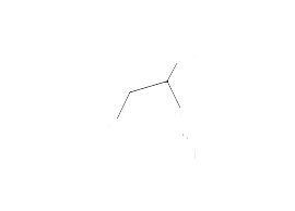 CC(CC(=O)[O-])C(=O)[O-].[H+].[Na+]